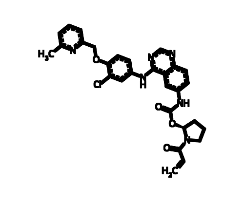 C=CC(=O)N1CCC[C@@H]1OC(=O)Nc1ccc2ncnc(Nc3ccc(OCc4cccc(C)n4)c(Cl)c3)c2c1